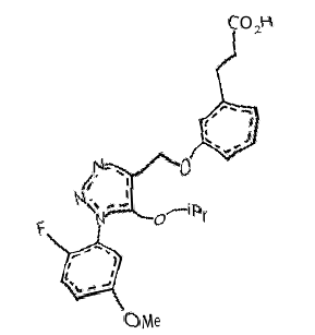 COc1ccc(F)c(-n2nnc(COc3cccc(CCC(=O)O)c3)c2OC(C)C)c1